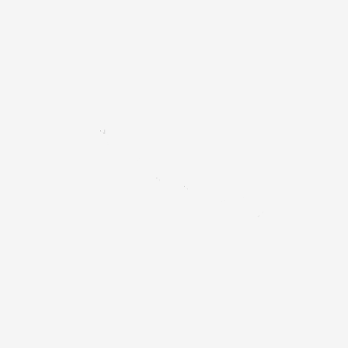 O=C(NO)c1cccc(CN2CCN(CCc3ccc4ccccc4c3)CC2)c1